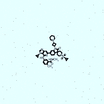 CNC(=O)c1cc(Nc2nc(-c3ccc4c(c3)N([C@H]3C[C@@H](N5CCCCC5)C3)C(=O)C43CCN(S(=O)(=O)C4CC4)CC3)cc3ncn(C4CC4)c23)ccc1C